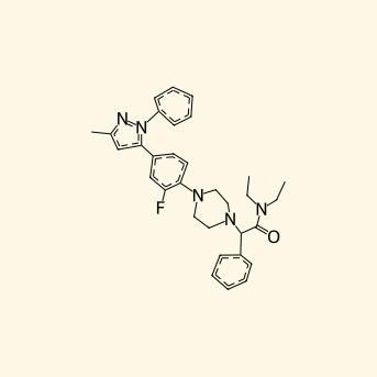 CCN(CC)C(=O)C(c1ccccc1)N1CCN(c2ccc(-c3cc(C)nn3-c3ccccc3)cc2F)CC1